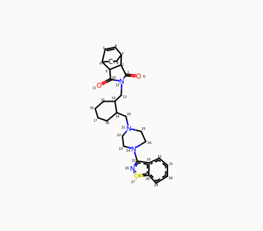 O=C1C2C3C=CC(CC3)C2C(=O)N1CC1CCCCC1CN1CCN(c2nsc3ccccc23)CC1